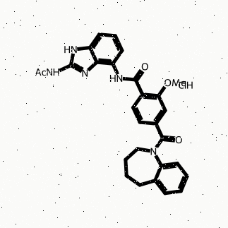 COc1cc(C(=O)N2CCCCc3ccccc32)ccc1C(=O)Nc1cccc2[nH]c(NC(C)=O)nc12.Cl